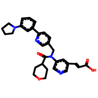 O=C(O)/C=C/c1cncc(N(Cc2ccc(-c3cccc(N4CCCC4)c3)nc2)C(=O)C2CCOCC2)c1